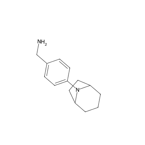 NCc1ccc(N2C3CCCC2CC3)cc1